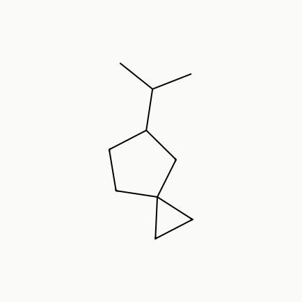 CC(C)C1CCC2(CC2)C1